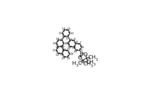 CC1(C)OB(c2ccc3cc(-c4ccccc4-c4ccc5ccc6ccccc6c5c4)ccc3c2)OC1(C)C